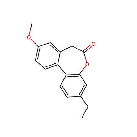 CCc1ccc2c(c1)OC(=O)Cc1cc(OC)ccc1-2